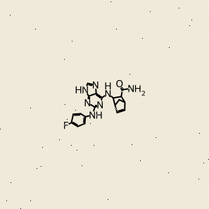 NC(=O)C1C2C=CC(C2)C1Nc1nc(Nc2ccc(F)cc2)nc2[nH]cnc12